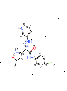 Cc1cc(/C(=C/Nc2cccnc2)C(=O)Nc2ccc(F)cc2)no1